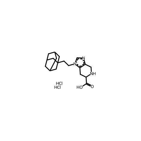 Cl.Cl.O=C(O)C1Cc2c(ncn2CCC23CC4CC(CC(C4)C2)C3)CN1